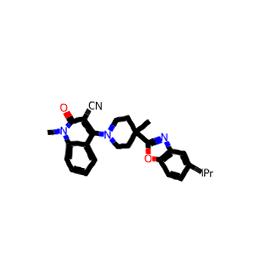 CC(C)c1ccc2oc(C3(C)CCN(c4c(C#N)c(=O)n(C)c5ccccc45)CC3)nc2c1